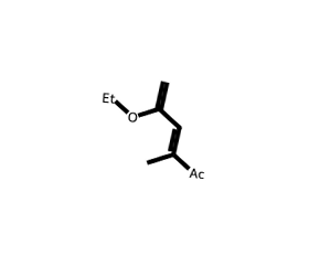 C=C(/C=C(\C)C(C)=O)OCC